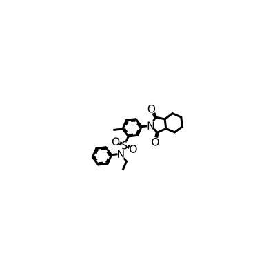 CCN(c1ccccc1)S(=O)(=O)c1cc(N2C(=O)C3CCCCC3C2=O)ccc1C